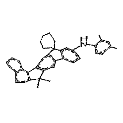 Cc1ccc(Nc2ccc3c(c2)C2(CCCCC2)c2cc4c(cc2-3)C(C)(C)c2ccc3ccccc3c2-4)c(C)c1